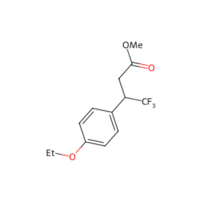 CCOc1ccc(C(CC(=O)OC)C(F)(F)F)cc1